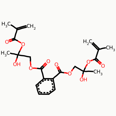 C=C(C)C(=O)OC(C)(O)COC(=O)c1ccccc1C(=O)OCC(C)(O)OC(=O)C(=C)C